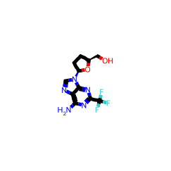 Nc1nc(C(F)(F)F)nc2c1ncn2[C@H]1CC[C@@H](CO)O1